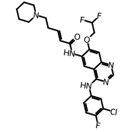 O=C(C=CCCN1CCCCC1)Nc1cc2c(Nc3ccc(F)c(Cl)c3)ncnc2cc1OCC(F)F